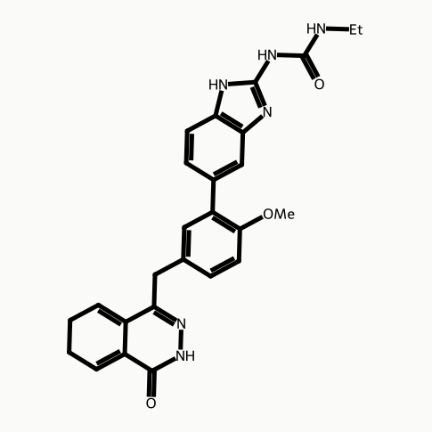 CCNC(=O)Nc1nc2cc(-c3cc(Cc4n[nH]c(=O)c5c4=CCCC=5)ccc3OC)ccc2[nH]1